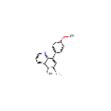 Cc1cc(-c2ccc(OC(F)(F)F)cc2)c2ncccc2c1C=O